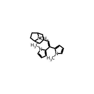 CN1C2CCC1CC(C=C(c1cccn1C)c1cccn1C)C2